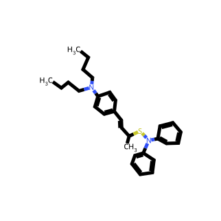 CCCCN(CCCC)c1ccc(C=CC(C)SN(c2ccccc2)c2ccccc2)cc1